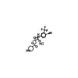 CC(O)(CS(=O)(=O)C1CCNCC1)C(=O)Nc1ccc(C#N)c(C(F)(F)F)c1.Cl